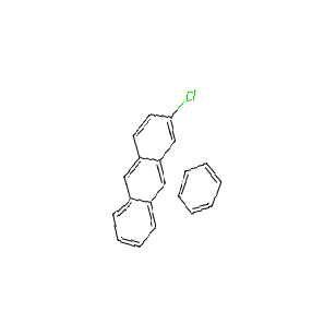 Clc1ccc2cc3ccccc3cc2c1.c1ccccc1